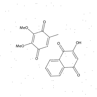 COC1=C(OC)C(=O)C(C)=CC1=O.O=C1C=C(O)C(=O)c2ccccc21